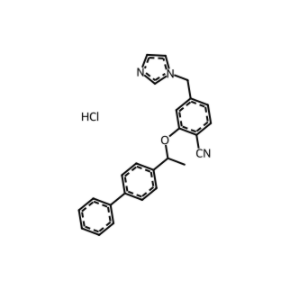 CC(Oc1cc(Cn2ccnc2)ccc1C#N)c1ccc(-c2ccccc2)cc1.Cl